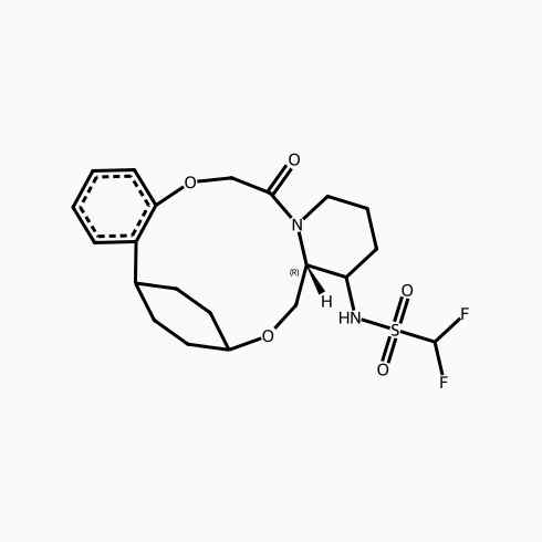 O=C1COc2ccccc2C2CCC(CC2)OC[C@H]2C(NS(=O)(=O)C(F)F)CCCN12